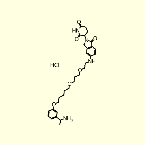 CC(N)c1cccc(OCCCCCOCCCOCCNc2ccc3c(c2)CN(C2CCC(=O)NC2=O)C3=O)c1.Cl